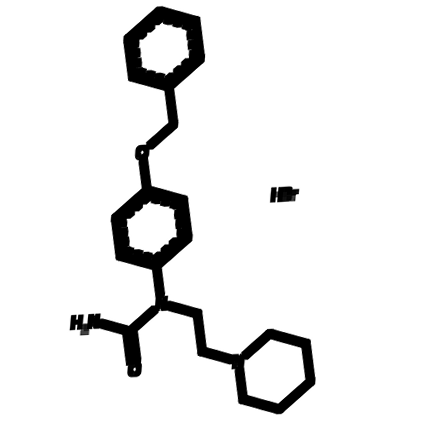 Br.NC(=O)N(CCN1CCCCC1)c1ccc(OCc2ccccc2)cc1